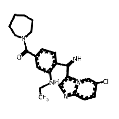 N=C(c1ccc(C(=O)N2CCCCCC2)cc1NCC(F)(F)F)c1cnc2ccc(Cl)cn12